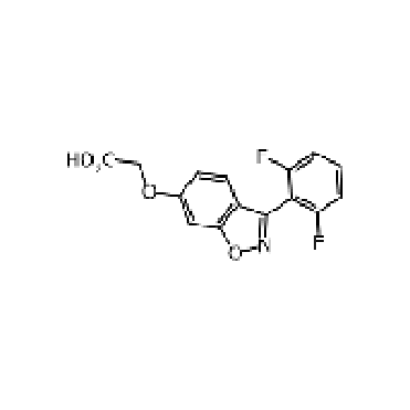 O=C(O)COc1ccc2c(-c3c(F)cccc3F)noc2c1